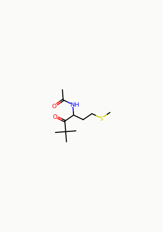 CSCCC(NC(C)=O)C(=O)C(C)(C)C